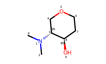 CN(C)[C@@H]1COCC[C@H]1O